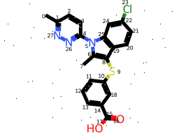 Cc1ccc(-n2c(C)c(Sc3cccc(C(=O)O)c3)c3ccc(Cl)cc32)nn1